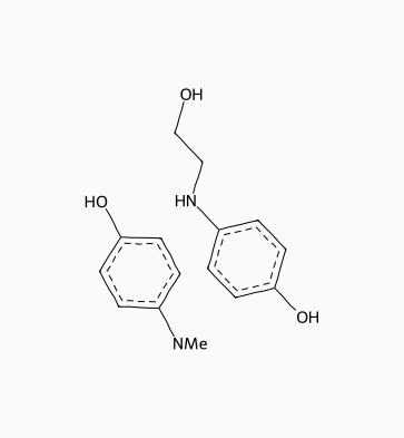 CNc1ccc(O)cc1.OCCNc1ccc(O)cc1